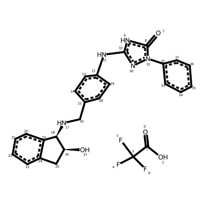 O=C(O)C(F)(F)F.O=c1[nH]c(Nc2ccc(CN[C@@H]3c4ccccc4C[C@@H]3O)cc2)nn1-c1ccccc1